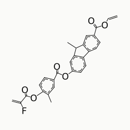 C=COC(=O)c1ccc2c(c1)C(C)c1cc(OC(=O)c3ccc(OC(=O)C(=C)F)c(C)c3)ccc1-2